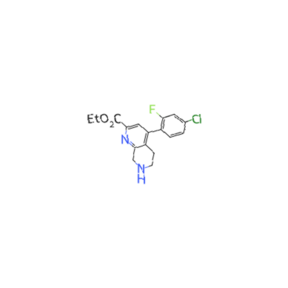 CCOC(=O)c1cc(-c2ccc(Cl)cc2F)c2c(n1)CNCC2